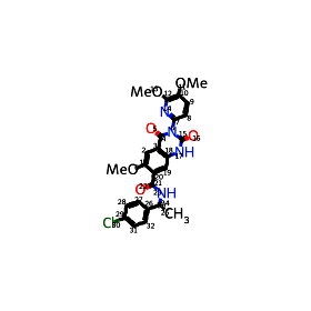 COc1cc2c(=O)n(-c3ccc(OC)c(OC)n3)c(=O)[nH]c2cc1C(=O)N[C@@H](C)c1ccc(Cl)cc1